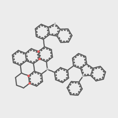 c1ccc(-n2c3ccccc3c3cccc(-c4cccc(N(c5ccc(-c6cccc7sc8ccccc8c67)cc5)c5ccccc5-c5cccc6cccc(C7CCCCC7)c56)c4)c32)cc1